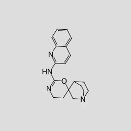 c1ccc2nc(NC3=NCCC4(CN5CCC4CC5)O3)ccc2c1